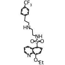 CCOc1ccc(S(=O)(=O)NCCNCCc2ccc(C(F)(F)F)cc2)c2cccnc12